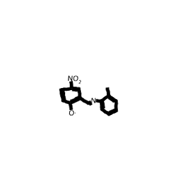 Cc1ccccc1N=Cc1cc([N+](=O)[O-])ccc1[O]